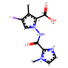 Cc1c(I)cn(NC(=O)c2nccn2C)c1C(=O)O